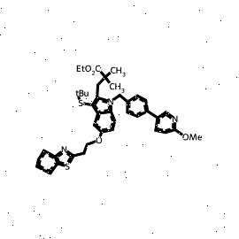 CCOC(=O)C(C)(C)Cc1c(SC(C)(C)C)c2cc(OCCc3nc4ccccc4s3)ccc2n1Cc1ccc(-c2ccc(OC)nc2)cc1